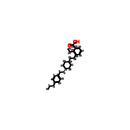 CCCc1ccc(CC[C@H]2CC[C@H](CCc3cccc(C(=O)O)c3CC)CC2)cc1